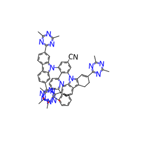 Cc1nc(C)nc(C2=Cc3c(c4ccc(-c5nc(C)nc(C)n5)cc4n3-c3cc(C#N)cc(-n4c5cc(-c6nc(C)nc(C)n6)ccc5c5ccc(-c6nc(C)nc(C)n6)cc54)c3-c3cccc(-c4ccccc4)n3)CC2)n1